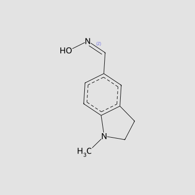 CN1CCc2cc(/C=N\O)ccc21